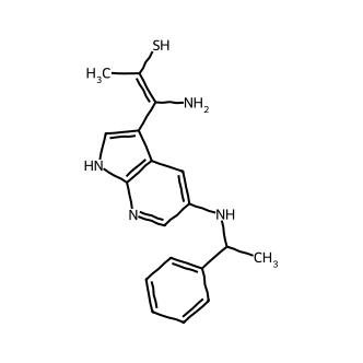 C/C(S)=C(/N)c1c[nH]c2ncc(NC(C)c3ccccc3)cc12